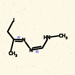 CN/C=N\N=C(/C)CI